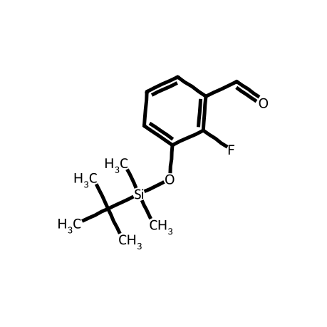 CC(C)(C)[Si](C)(C)Oc1cccc(C=O)c1F